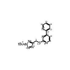 CC(C)(C)n1nnc(CSc2nccc(-c3ccccn3)n2)n1